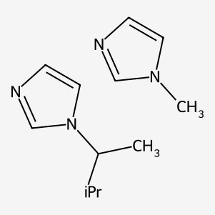 CC(C)C(C)n1ccnc1.Cn1ccnc1